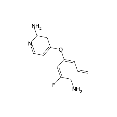 C=C/C=C(\C=C(\F)CN)OC1=CC=NC(N)C1